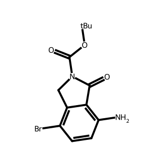 CC(C)(C)OC(=O)N1Cc2c(Br)ccc(N)c2C1=O